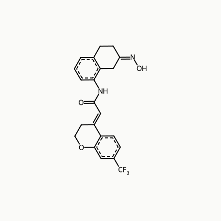 O=C(C=C1CCOc2cc(C(F)(F)F)ccc21)Nc1cccc2c1CC(=NO)CC2